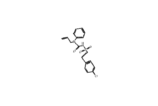 C=CCN(C(=O)NS(=O)(=O)C=Cc1ccc(Cl)cc1)c1ccccc1